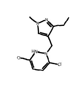 CCc1nn(C)cc1CN1NC(Cl)=CC=C1Cl